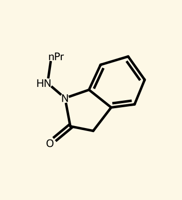 CCCNN1C(=O)Cc2ccccc21